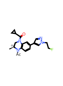 CC(=O)N1c2ccc(-c3cnn(CCF)c3)cc2N(C(=O)C2CC2)C[C@@H]1C